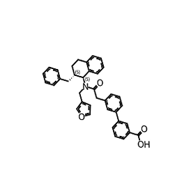 O=C(O)c1cccc(-c2cccc(CC(=O)N(Cc3ccoc3)[C@@H]3c4ccccc4CC[C@H]3Cc3ccccc3)c2)c1